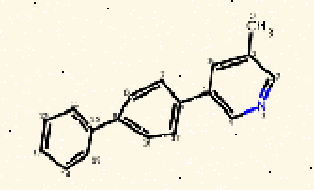 Cc1cncc(-c2ccc(-c3ccccc3)cc2)c1